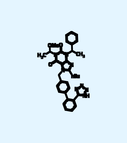 CCCCc1nc2c(c(=O)n(C(C)OC)c(=O)n2C(C)c2ccccc2)n1Cc1ccc(-c2ccccc2-c2nnn[nH]2)cc1